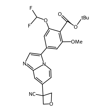 COc1cc(-c2cnc3cc(C4(C#N)COC4)ccn23)cc(OC(F)F)c1C(=O)OC(C)(C)C